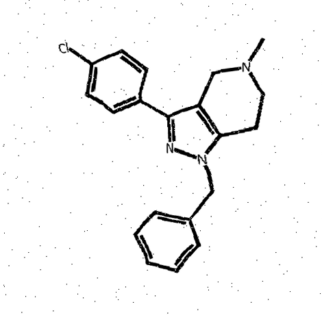 CN1CCc2c(c(-c3ccc(Cl)cc3)nn2Cc2ccccc2)C1